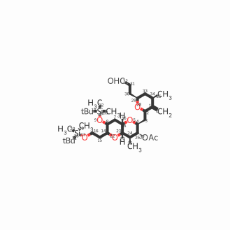 C=C1C(C[C@@H]2O[C@H]3CC(O[Si](C)(C)C(C)(C)C)C(CCO[Si](C)(C)C(C)(C)C)O[C@H]3[C@H](C)[C@H]2OC(C)=O)O[C@@H](CCC=O)C[C@H]1C